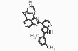 Cc1ccc(C)c(-c2cc3c(-c4nc(N5CCNCC5)c5c(C6CC6)cncc5n4)ccnc3[nH]2)c1